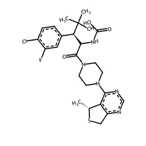 C[C@H]1SCc2ncnc(N3CCN(C(=O)C(NC(=O)O)[C@@H](c4ccc(Cl)c(F)c4)C(C)(C)C)CC3)c21